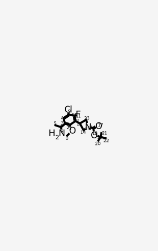 COc1c(C(C)N)cc(Cl)c(F)c1C1CN(C(=O)OC(C)(C)C)C1